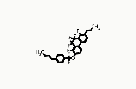 C=CCCc1ccc(C(F)(F)Oc2ccc3c(c2F)C(F)(F)C(F)(F)c2c-3ccc(CCC)c2F)cc1